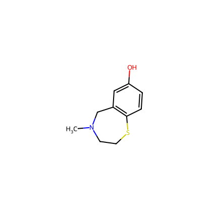 CN1CCSc2ccc(O)cc2C1